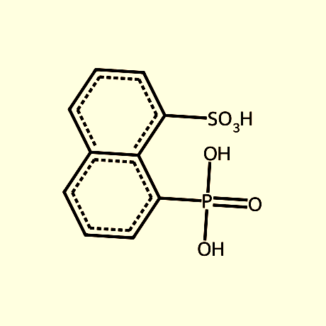 O=P(O)(O)c1cccc2cccc(S(=O)(=O)O)c12